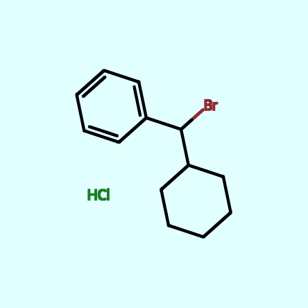 BrC(c1ccccc1)C1CCCCC1.Cl